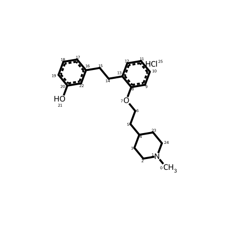 CN1CCC(CCOc2ccccc2CCc2cccc(O)c2)CC1.Cl